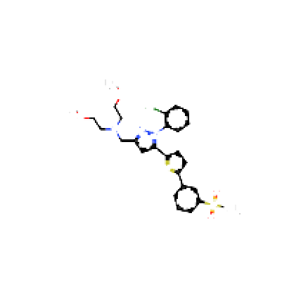 COCCN(CCOC)Cc1cc(-c2ccc(-c3cccc(S(C)(=O)=O)c3)s2)n(-c2ccccc2Cl)n1